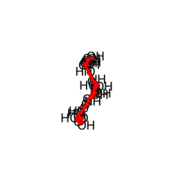 O=C(O)CCC(NC(=O)NC(CCCCNC(=O)CCCCCNC(=O)CCc1ccc(O)c(CN(CCN(CC(=O)O)Cc2cc(CCC(=O)NCCOCCOCCNC(=S)Nc3ccc4c(c3)C(=O)OC43c4ccc(O)cc4OC4C=C(O)C=CC43)ccc2O)CC(=O)O)c1)C(=O)O)C(=O)O